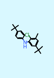 Cc1cc(C(C)(C)C)cc(Nc2ccc(C(C)(C)C)cc2)c1Cl